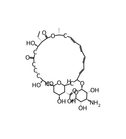 CC[C@@H]1C(=O)O[C@H](C)C/C=C/C=C/C=C/C=C/C(O[C@@H]2O[C@H](C)[C@@H](O)[C@H](N)[C@H]2O)C[C@@H]2O[C@](O)(C[C@@H](O)CCCC(=O)C[C@H]1O)C[C@H](O)[C@H]2C(=O)O